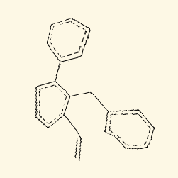 C=Cc1cccc(-c2ccccc2)c1Cc1ccccc1